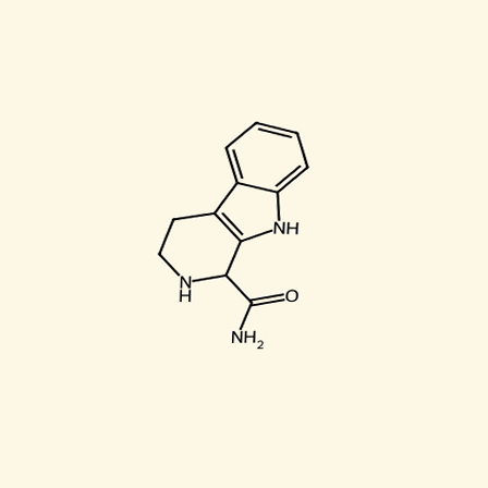 NC(=O)C1NCCc2c1[nH]c1ccccc21